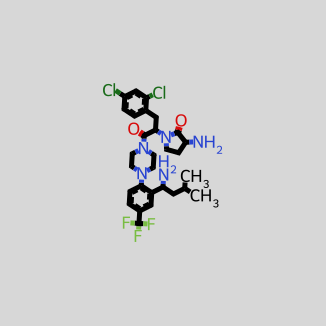 CC(C)CC(N)c1cc(C(F)(F)F)ccc1N1CCN(C(=O)C(Cc2ccc(Cl)cc2Cl)N2CCC(N)C2=O)CC1